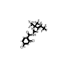 O=C(NC1=NC(C(F)(F)F)(C(F)(F)F)C(=C(F)C(F)(F)F)S1)c1ccc(Cl)cc1Cl